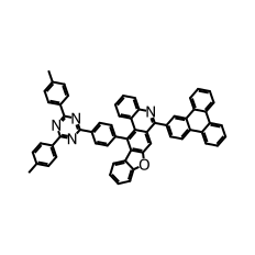 Cc1ccc(-c2nc(-c3ccc(C)cc3)nc(-c3ccc(-c4c5c(cc6c(-c7ccc8c9ccccc9c9ccccc9c8c7)nc7ccccc7c46)oc4ccccc45)cc3)n2)cc1